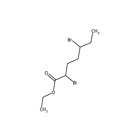 CCOC(=O)C(Br)CCC(Br)CC